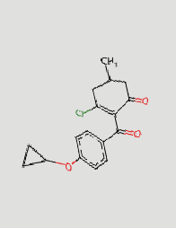 CC1CC(=O)C(C(=O)c2ccc(OC3CC3)cc2)=C(Cl)C1